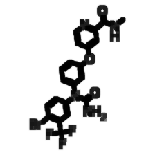 CNC(=O)c1cc(Oc2cccc(N(C(N)=O)c3ccc(Br)c(C(F)(F)F)c3)c2)ccn1